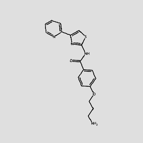 NCCCOc1ccc(C(=O)Nc2nc(-c3ccccn3)cs2)cc1